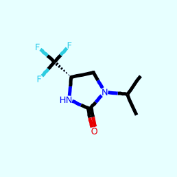 CC(C)N1C[C@@H](C(F)(F)F)NC1=O